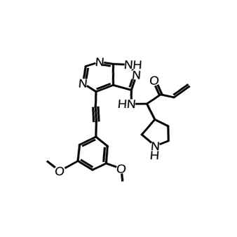 C=CC(=O)C(Nc1n[nH]c2ncnc(C#Cc3cc(OC)cc(OC)c3)c12)C1CCNC1